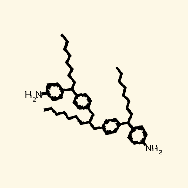 CCCCCCCCC(c1ccc(N)cc1)c1ccc(CC(CCCCCCC)Cc2ccc(C(CCCCCCCC)c3ccc(N)cc3)cc2)cc1